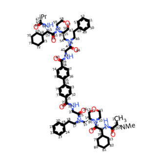 CN[C@@H](C)C(=O)N[C@H](C(=O)N1CCOC[C@H]1CN(CCc1ccccc1)C(=O)CNC(=O)c1ccc(-c2ccc(C(=O)NCC(=O)N(CCc3ccccc3)C[C@@H]3COCCN3C(=O)[C@@H](NC(=O)C(C)C)C3CCCCC3)cc2)cc1)C1CCCCC1